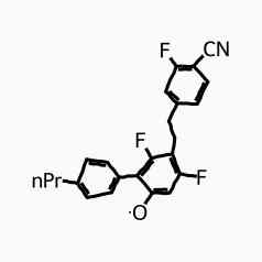 CCCc1ccc(-c2c([O])cc(F)c(CCc3ccc(C#N)c(F)c3)c2F)cc1